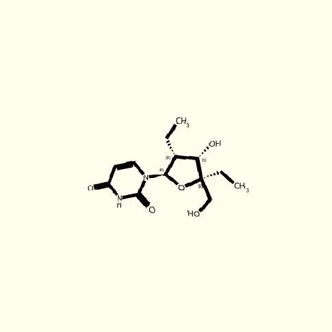 CC[C@H]1[C@H](n2ccc(=O)[nH]c2=O)O[C@](CC)(CO)[C@H]1O